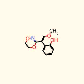 COC=C(C1=NOCCO1)c1ccccc1O